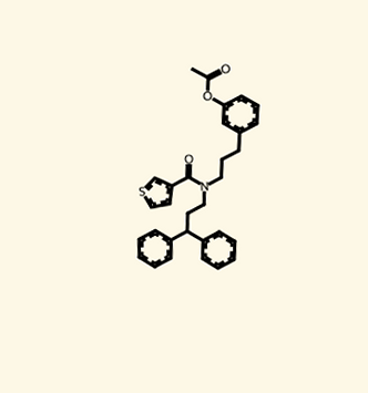 CC(=O)Oc1cccc(CCCN(CCC(c2ccccc2)c2ccccc2)C(=O)c2ccsc2)c1